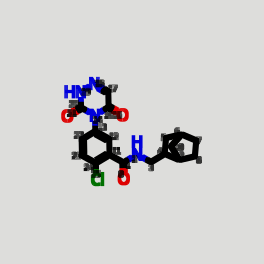 O=C(NCC1CC2CCC1C2)c1cc(-n2c(=O)cn[nH]c2=O)ccc1Cl